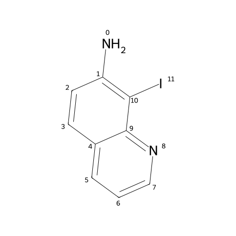 Nc1ccc2cccnc2c1I